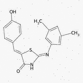 Cc1cc(C)cc(/N=C2/NC(=O)/C(=C/c3ccc(O)cc3)S2)c1